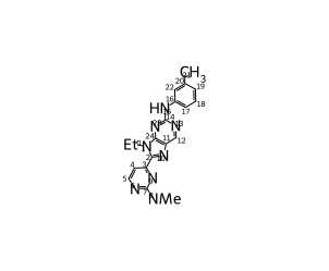 CCn1c(-c2ccnc(NC)n2)nc2cnc(Nc3cccc(C)c3)nc21